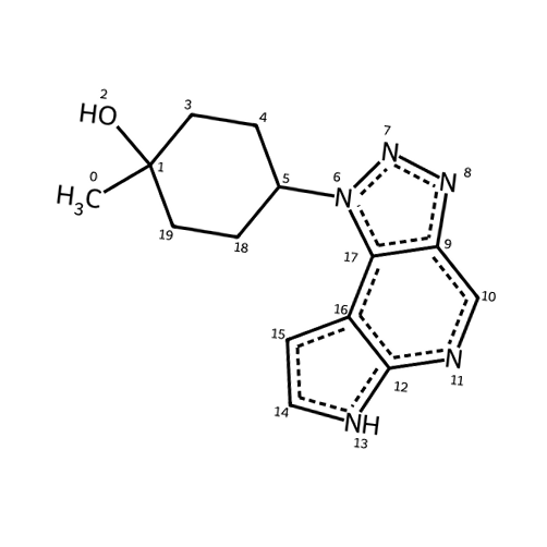 CC1(O)CCC(n2nnc3cnc4[nH]ccc4c32)CC1